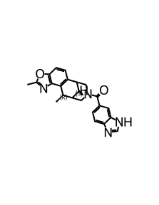 Cc1nc2c3c(ccc2o1)C1CN(C(=O)c2ccc4nc[nH]c4c2)CC([C@@H]1C)[C@H]3C